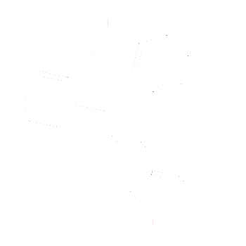 Cc1ccc(S(=O)(=O)O)cc1.N=C(NO)N/N=C/c1ccccc1Cl